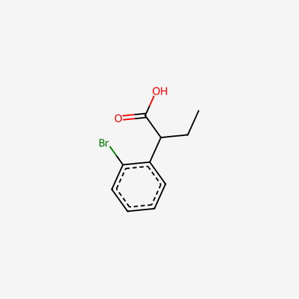 CCC(C(=O)O)c1ccccc1Br